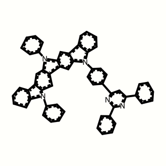 c1ccc(-c2cc(-c3ccc(-n4c5ccccc5c5cc6c(cc54)c4cc5c(cc4n6-c4ccccc4)c4ccccc4n5-c4ccccc4)cc3)nc(-c3ccccc3)n2)cc1